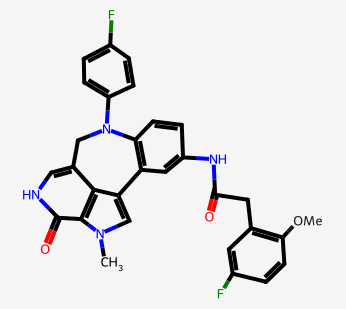 COc1ccc(F)cc1CC(=O)Nc1ccc2c(c1)-c1cn(C)c3c(=O)[nH]cc(c13)CN2c1ccc(F)cc1